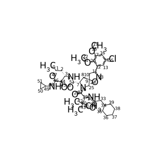 CCC[C@H](NC(=O)[C@@H]1C[C@]2(CC(c3cc(Cl)cc(OC)c3OC)=NO2)CN1C(=O)[C@@H](NC(=O)CC1CCCCC1)C(C)(C)C)C(=O)C(=O)NC1CC1